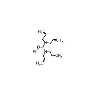 C=CCN(CC=C)P(OCC)N(CC=C)CC=C